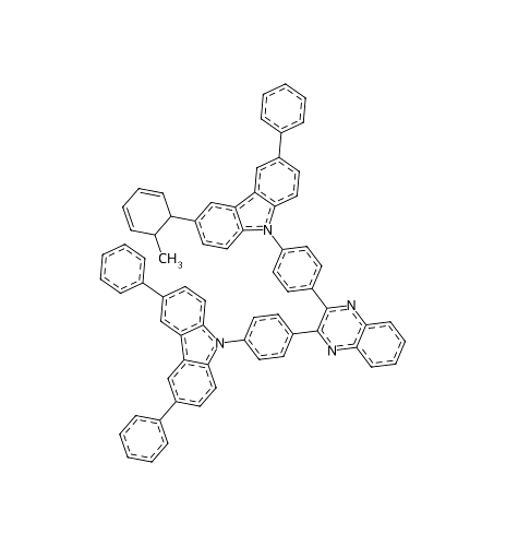 CC1C=CC=CC1c1ccc2c(c1)c1cc(-c3ccccc3)ccc1n2-c1ccc(-c2nc3ccccc3nc2-c2ccc(-n3c4ccc(-c5ccccc5)cc4c4cc(-c5ccccc5)ccc43)cc2)cc1